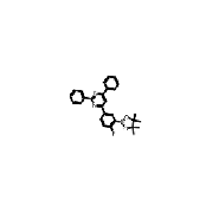 CC1(C)OB(c2cc(-c3cc(-c4ccccc4)nc(-c4ccccc4)n3)ccc2F)OC1(C)C